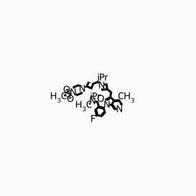 Cc1cncc2c1c(CC1CN([C@@H](C(C)C)[C@H]3C[C@H](N4CCN(S(C)(=O)=O)CC4)C3)C1)cn2-c1ccc(F)cc1C(=O)N(C)C(C)C